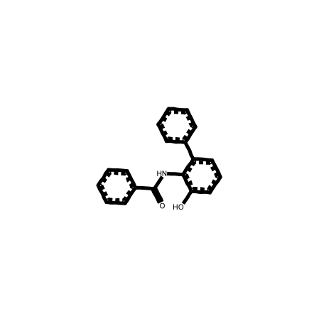 O=C(Nc1c(O)cccc1-c1ccccc1)c1ccccc1